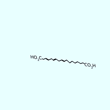 O=C(O)C/C=C/C/C=C/C/C=C/CCCCCCCC(=O)O